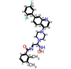 Cc1cccc(C(=O)N=CC(NO)N2CCN(c3ccnc4cc(-c5cc(F)ccc5F)ccc34)CC2)c1C